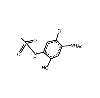 CC(=O)Nc1cc(O)c(NS(C)(=O)=O)cc1Cl